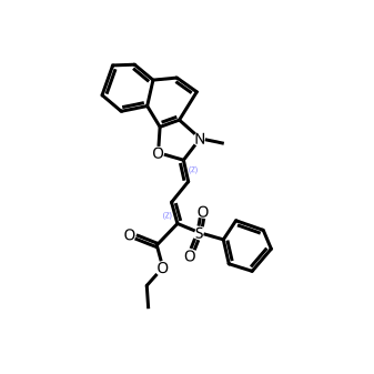 CCOC(=O)/C(=C/C=C1\Oc2c(ccc3ccccc23)N1C)S(=O)(=O)c1ccccc1